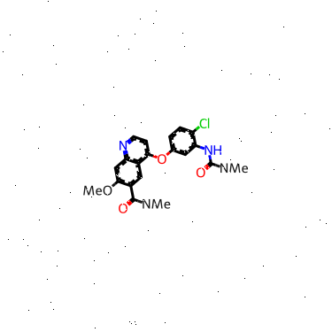 CNC(=O)Nc1cc(Oc2ccnc3cc(OC)c(C(=O)NC)cc23)ccc1Cl